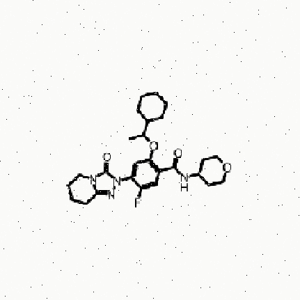 CC(Oc1cc(-n2nc3n(c2=O)CCCC3)c(F)cc1C(=O)NC1CCOCC1)C1CCCCC1